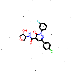 O=C(N[C@H]1COC[C@@H]1O)c1cc(-c2ccc(Cl)cc2)nn(-c2cccc(F)c2)c1=O